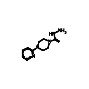 C=C(NN)N1CCN(c2ccccn2)CC1